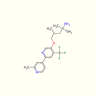 Cc1cc(-c2cc(C(F)(F)F)c(OCC(C)CC(C)(C)N)cn2)ccn1